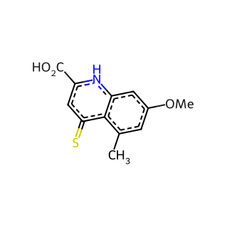 COc1cc(C)c2c(=S)cc(C(=O)O)[nH]c2c1